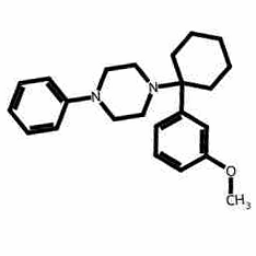 COc1cccc(C2(N3CCN(c4ccccc4)CC3)CCCCC2)c1